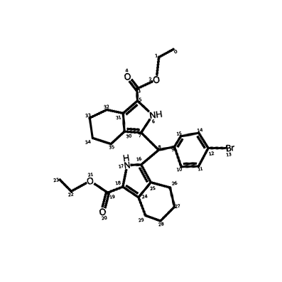 CCOC(=O)c1[nH]c(C(c2ccc(Br)cc2)c2[nH]c(C(=O)OCC)c3c2CCCC3)c2c1CCCC2